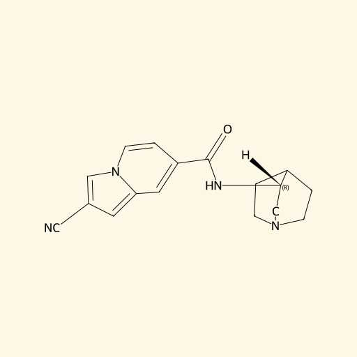 N#Cc1cc2cc(C(=O)N[C@H]3CN4CCC3CC4)ccn2c1